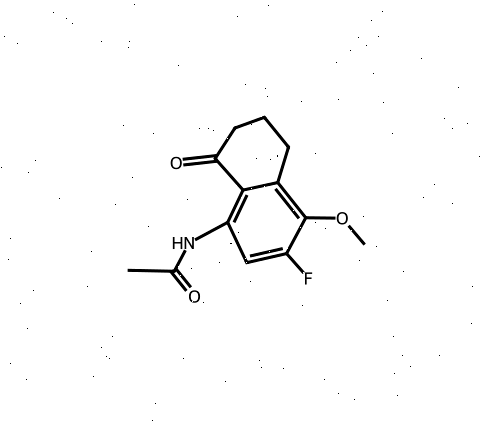 COc1c(F)cc(NC(C)=O)c2c1CCCC2=O